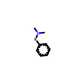 CN(C)[B]c1ccccc1